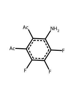 CC(=O)c1c(N)c(F)c(F)c(F)c1C(C)=O